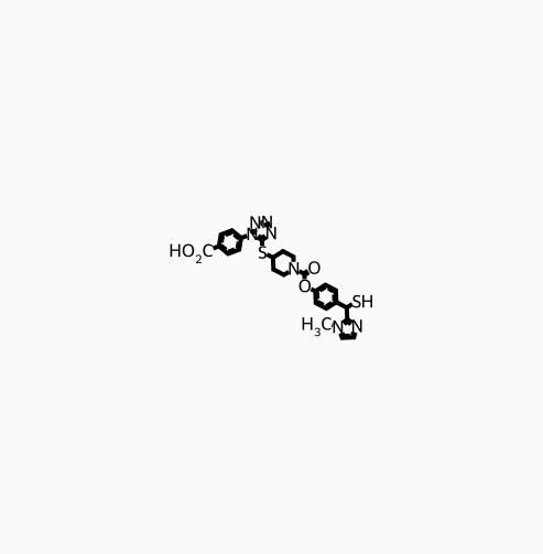 Cn1ccnc1C(S)c1ccc(OC(=O)N2CCC(Sc3nnnn3-c3ccc(C(=O)O)cc3)CC2)cc1